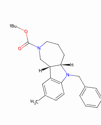 Cc1ccc2c(c1)[C@@H]1CN(C(=O)OC(C)(C)C)CCC[C@@H]1N2Cc1ccccc1